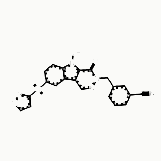 Cn1c2ccc(S(=O)(=O)c3cc[nH]n3)cc2c2cnn(Cc3cccc(C#N)c3)c(=O)c21